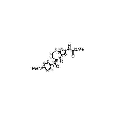 CNC(=O)Nc1nc2c(s1)C(=O)C(C(=O)c1ccc(NC)nc1)CCC2